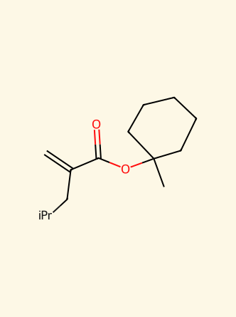 C=C(CC(C)C)C(=O)OC1(C)CCCCC1